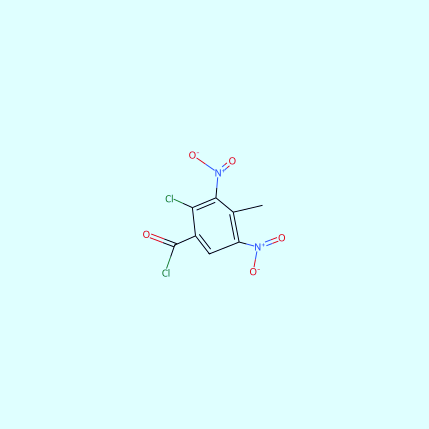 Cc1c([N+](=O)[O-])cc(C(=O)Cl)c(Cl)c1[N+](=O)[O-]